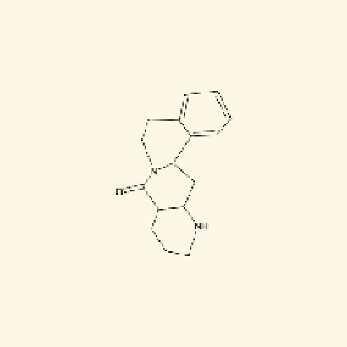 O=C1C2CCCNC2CC2c3ccccc3CCN12